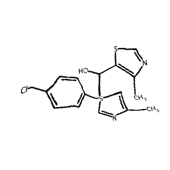 CC1=CS(c2ccc(Cl)cc2)(C(O)c2scnc2C)C=N1